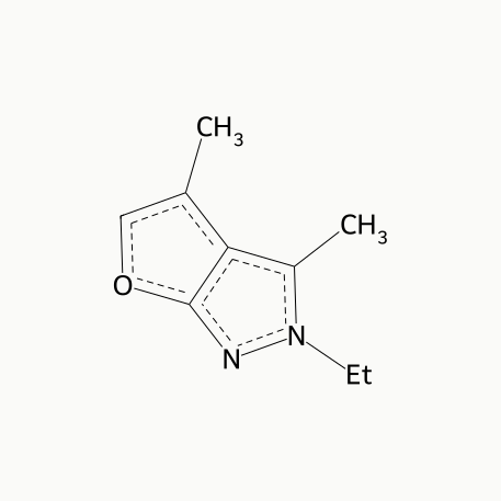 CCn1nc2occ(C)c2c1C